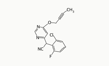 CC#CCOc1cc(C(C#N)c2c(F)cccc2Cl)ncn1